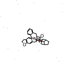 O=C(NC1C2CCC1CN(CCc1ccc3c(c1)OCC3)C2)C1Cc2ccccc2CN1